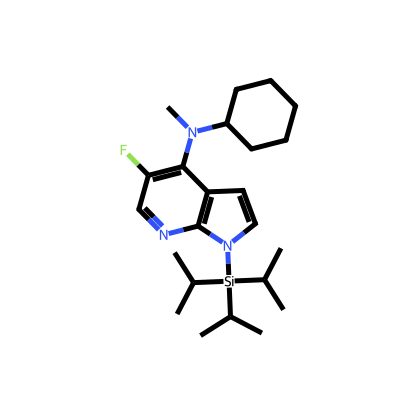 CC(C)[Si](C(C)C)(C(C)C)n1ccc2c(N(C)C3CCCCC3)c(F)cnc21